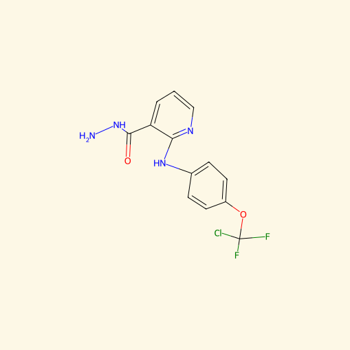 NNC(=O)c1cccnc1Nc1ccc(OC(F)(F)Cl)cc1